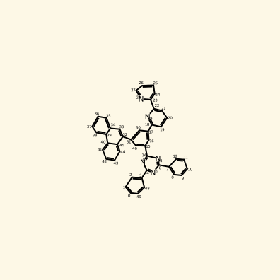 c1ccc(-c2nc(-c3ccccc3)nc(-c3cc(-c4cccc(-c5ccccn5)n4)cc(-c4cc5ccccc5c5ccccc45)c3)n2)cc1